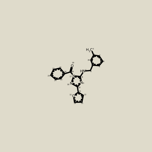 Cc1cccc(CNc2nc(-c3ccco3)nn2C(=O)c2ccccc2)c1